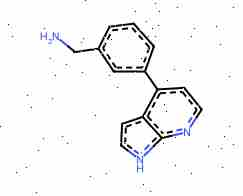 NCc1cccc(-c2ccnc3[nH]ccc23)c1